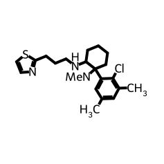 CNC1(c2cc(C)cc(C)c2Cl)CCCCC1NCCCc1nccs1